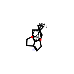 Nc1ccc(/C2=C\CCN(C3CC3)CCC2)cc1